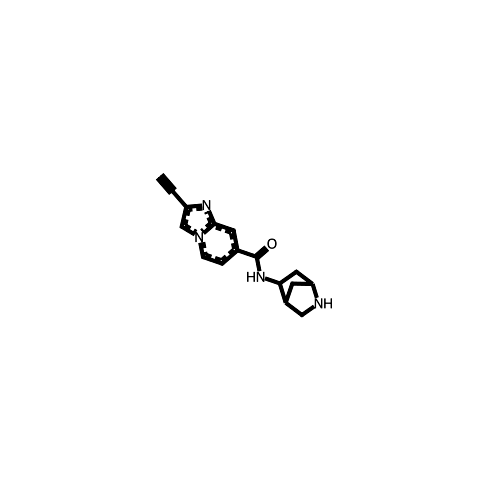 C#Cc1cn2ccc(C(=O)NC3CC4CC3CN4)cc2n1